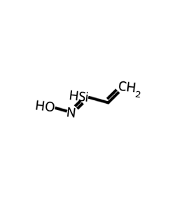 C=C[SiH]=NO